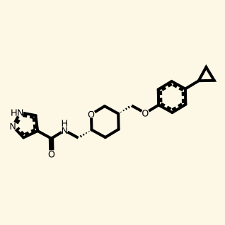 O=C(NC[C@H]1CC[C@@H](COc2ccc(C3CC3)cc2)CO1)c1cn[nH]c1